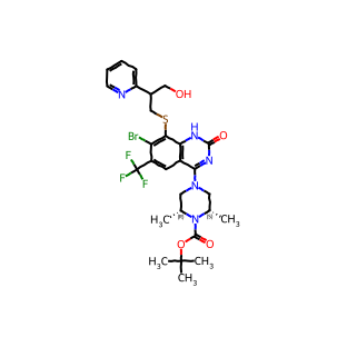 C[C@@H]1CN(c2nc(=O)[nH]c3c(SCC(CO)c4ccccn4)c(Br)c(C(F)(F)F)cc23)C[C@H](C)N1C(=O)OC(C)(C)C